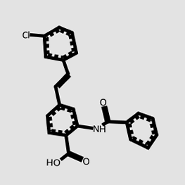 O=C(Nc1cc(C=Cc2cccc(Cl)c2)ccc1C(=O)O)c1ccccc1